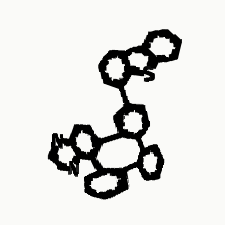 c1ccc2c(c1)-c1ccc(-c3cccc4c3sc3ccccc34)cc1-c1ccc3nccnc3c1-c1ccccc1-2